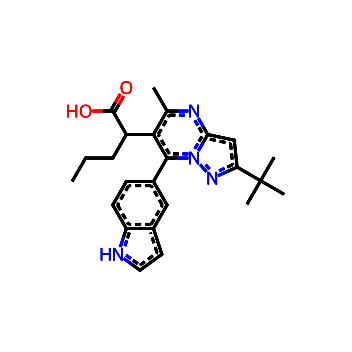 CCCC(C(=O)O)c1c(C)nc2cc(C(C)(C)C)nn2c1-c1ccc2[nH]ccc2c1